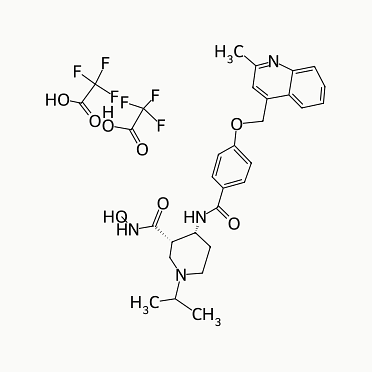 Cc1cc(COc2ccc(C(=O)N[C@@H]3CCN(C(C)C)C[C@@H]3C(=O)NO)cc2)c2ccccc2n1.O=C(O)C(F)(F)F.O=C(O)C(F)(F)F